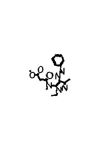 CCn1nc(C)c(N=Nc2ccccc2)c1N(C)C(=O)CC(=O)OC